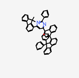 CC1(C)c2ccccc2-c2cccc(-c3cc(-c4ccc(-c5cccc6c5C(c5ccccc5)(c5ccccc5)c5ccccc5-6)c5ccccc45)nc(-c4ccccc4)n3)c21